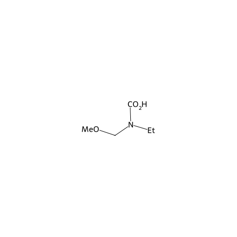 CCN(COC)C(=O)O